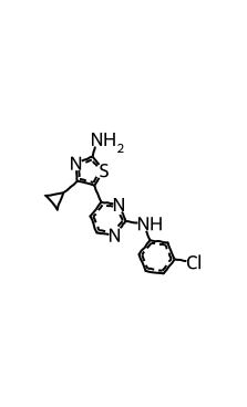 Nc1nc(C2CC2)c(-c2ccnc(Nc3cccc(Cl)c3)n2)s1